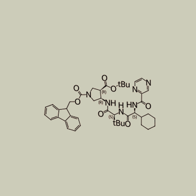 CC(C)(C)OC(=O)[C@@H]1CN(C(=O)OCC2c3ccccc3-c3ccccc32)C[C@@H]1NC(=O)[C@@H](NC(=O)[C@@H](NC(=O)c1cnccn1)C1CCCCC1)C(C)(C)C